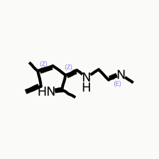 C=C/C(C)=C\C(=C\NC/C=N/C)C(C)=N